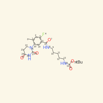 Cc1cc(F)c(C(=O)NCCCCCNC(=O)OC(C)(C)C)cc1N1CCC(=O)NC1=O